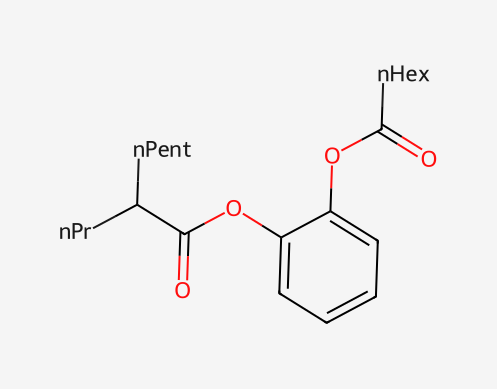 CCCCCCC(=O)Oc1ccccc1OC(=O)C(CCC)CCCCC